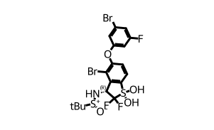 CC(C)(C)[S+]([O-])N[C@@H]1c2c(ccc(Oc3cc(F)cc(Br)c3)c2Br)S(O)(O)C1(F)F